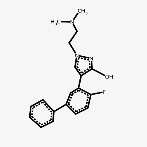 CN(C)CCn1cc(-c2cc(-c3ccccc3)ccc2F)c(O)n1